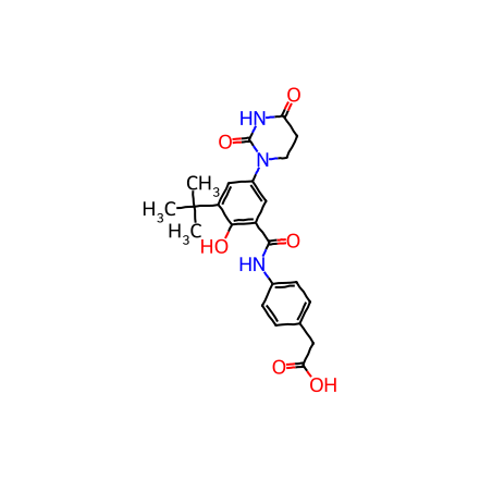 CC(C)(C)c1cc(N2CCC(=O)NC2=O)cc(C(=O)Nc2ccc(CC(=O)O)cc2)c1O